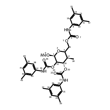 CO[C@H]1OC(COC(=O)Nc2cc(C)cc(C)c2)[C@@H](C)[C@H](OC(=O)Nc2cc(C)cc(C)c2)C1OC(=O)Nc1cc(C)cc(C)c1